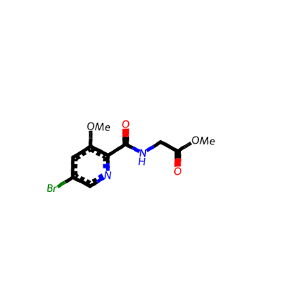 COC(=O)CNC(=O)c1ncc(Br)cc1OC